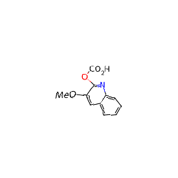 COc1cc2ccccc2nc1OC(=O)O